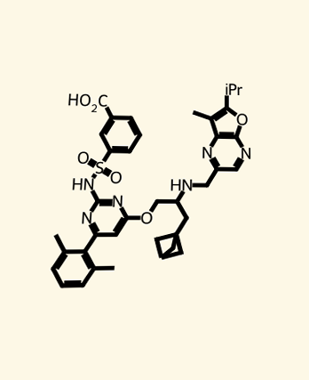 Cc1cccc(C)c1-c1cc(OCC(CC23CC(C2)C3)NCc2cnc3oc(C(C)C)c(C)c3n2)nc(NS(=O)(=O)c2cccc(C(=O)O)c2)n1